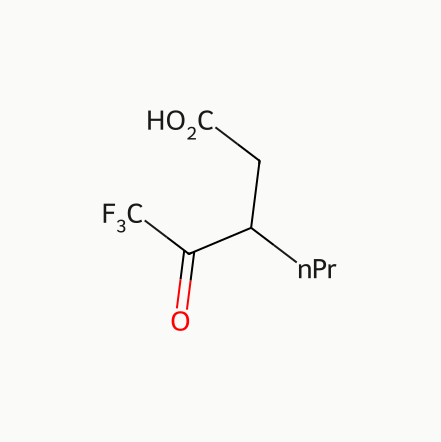 CCCC(CC(=O)O)C(=O)C(F)(F)F